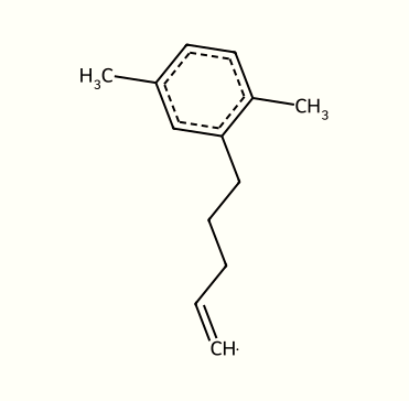 [CH]=CCCCc1cc(C)ccc1C